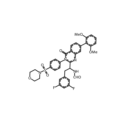 COc1cccc(OC)c1-c1ccc2c(=O)n(-c3ccc(S(=O)(=O)N4CCOCC4)cc3)c(C(Cc3cc(F)cc(F)c3)NC=O)nc2c1